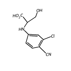 N#Cc1ccc(NC(CO)C(=O)O)cc1Cl